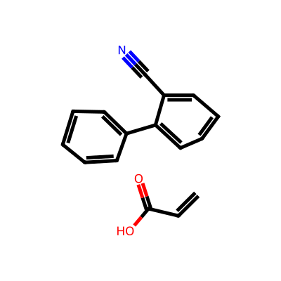 C=CC(=O)O.N#Cc1ccccc1-c1ccccc1